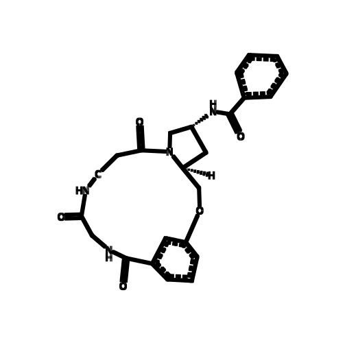 O=C1CNC(=O)c2cccc(c2)OC[C@@H]2C[C@@H](NC(=O)c3ccccc3)CN2C(=O)CCN1